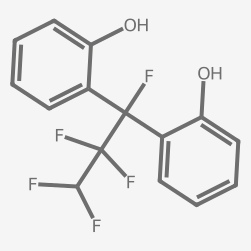 Oc1ccccc1C(F)(c1ccccc1O)C(F)(F)C(F)F